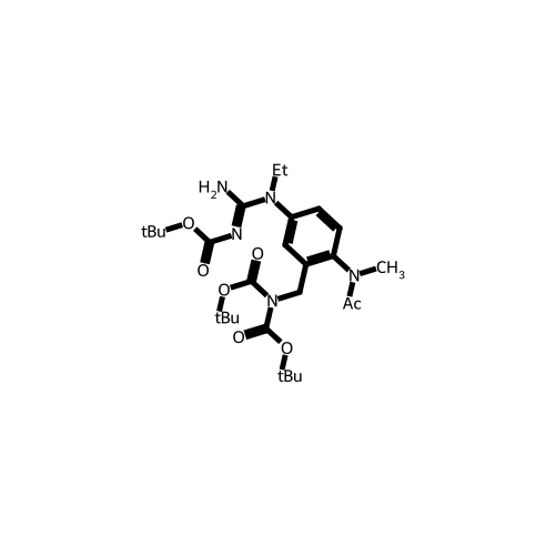 CCN(C(N)=NC(=O)OC(C)(C)C)c1ccc(N(C)C(C)=O)c(CN(C(=O)OC(C)(C)C)C(=O)OC(C)(C)C)c1